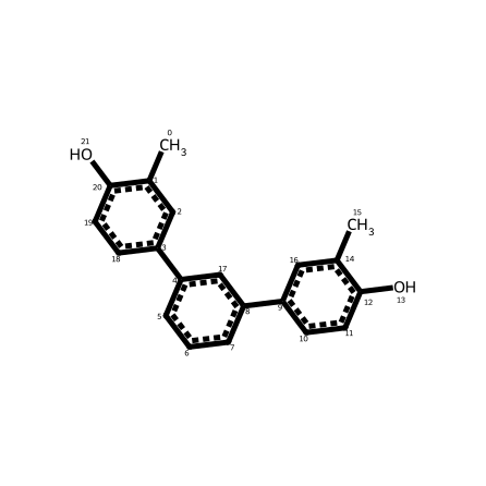 Cc1cc(-c2cccc(-c3ccc(O)c(C)c3)c2)ccc1O